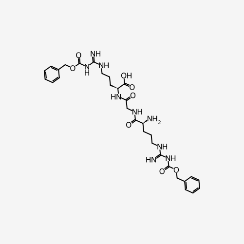 N=C(NCCC[C@H](NC(=O)CNC(=O)[C@@H](N)CCCNC(=N)NC(=O)OCc1ccccc1)C(=O)O)NC(=O)OCc1ccccc1